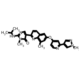 Cc1cc(Oc2ccnc(-c3cnn(C)c3)c2)cc2ccc(-c3cnc(NC(C)C)n(C)c3=O)nc12